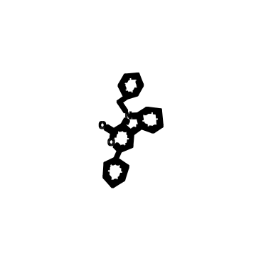 O=c1oc(-c2ccccc2)cc2c3ccccc3n(Cc3ccccc3)c12